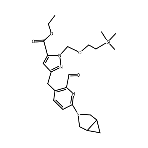 CCOC(=O)c1cc(Cc2ccc(N3CC4CC4C3)nc2C=O)nn1COCC[Si](C)(C)C